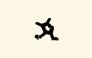 CSn1nc(C)c(C)c1[N+](=O)[O-]